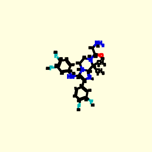 CC1(C)c2nc(-c3ccc(F)c(F)c3)c(Nc3ccc(F)c(F)c3)n2CCN1C(=O)CN